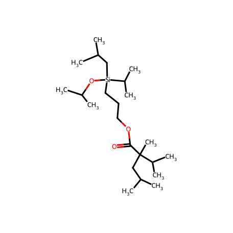 CC(C)CC(C)(C(=O)OCCC[Si](CC(C)C)(OC(C)C)C(C)C)C(C)C